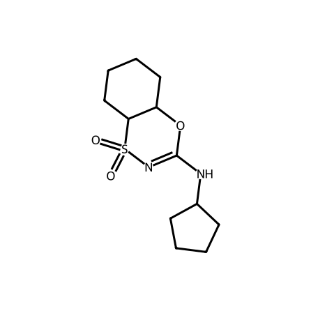 O=S1(=O)N=C(NC2CCCC2)OC2CCCCC21